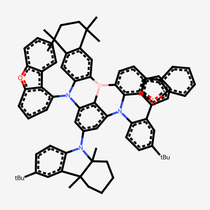 CC(C)(C)c1ccc(N2c3cc(N4c5ccc(C(C)(C)C)cc5C5(C)CCCCC45C)cc4c3B(c3cc5c(cc3N4c3cccc4oc6ccccc6c34)C(C)(C)CCC5(C)C)c3ccc4c(oc5ccccc54)c32)c(-c2ccccc2)c1